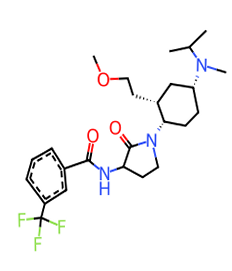 COCC[C@@H]1C[C@H](N(C)C(C)C)CC[C@@H]1N1CCC(NC(=O)c2cccc(C(F)(F)F)c2)C1=O